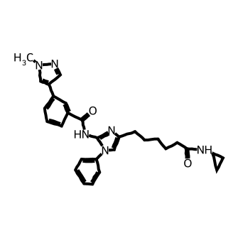 Cn1cc(-c2cccc(C(=O)Nc3nc(CCCCCC(=O)NC4CC4)cn3-c3ccccc3)c2)cn1